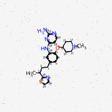 CC(CCc1ccc(OC2CCN(C)CC2)c(Nc2ccnc(N)n2)c1)c1nccs1